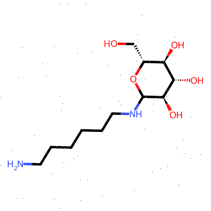 NCCCCCCNC1O[C@H](CO)[C@@H](O)[C@H](O)[C@H]1O